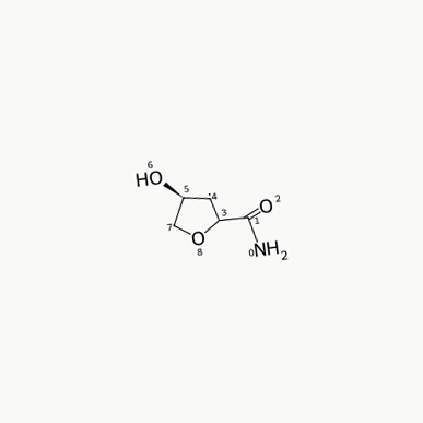 NC(=O)C1[CH][C@H](O)CO1